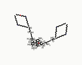 CCCCCCCC/C=C\CCCCCCCCN(CCCCCCCC/C=C\CCCCCCCC)CC(=O)C(=O)NCCCC[C@H](N)C(=O)NC1O[C@H](O[C@@H]2C(N)C[C@@H](N)C(O)[C@H]2O[C@@H]2O[C@H](CO)[C@H](O[C@H]3OC(CNC(=O)[C@@H](N)CCCCNC(=O)CCC(=O)N(CCCCCCCC/C=C\CCCCCCCC)CCCCCCCC/C=C\CCCCCCCC)[C@@H](O)C(O)[C@H]3N)C2O)C(N)[C@@H](O)[C@@H]1O